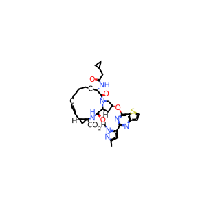 Cc1cc(-c2nc(O[C@@H]3C[C@H]4C(=O)N[C@]5(C(=O)O)C[C@H]5C=CCCCCC[C@H](NC(=O)CC5CC5)C(=O)N4C3)c3sccc3n2)n(C)n1